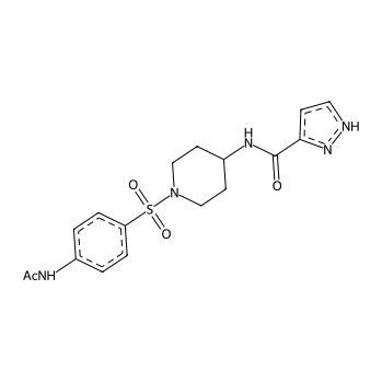 CC(=O)Nc1ccc(S(=O)(=O)N2CCC(NC(=O)c3cc[nH]n3)CC2)cc1